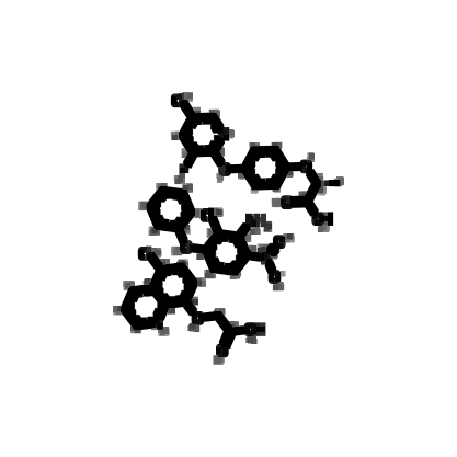 C[C@@H](Oc1ccc(Oc2ncc(Cl)cc2F)cc1)C(=O)O.Nc1c([N+](=O)[O-])ccc(Oc2ccccc2)c1Cl.O=C(O)COc1ccc(Cl)c2cccnc12